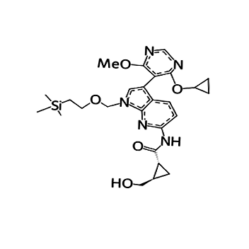 COc1ncnc(OC2CC2)c1-c1cn(COCC[Si](C)(C)C)c2nc(NC(=O)[C@@H]3C[C@H]3CO)ccc12